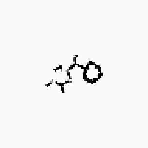 CC[SiH](OC(C)OC)C(O)c1ccccc1